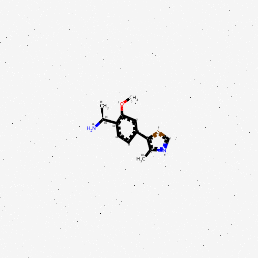 COc1cc(-c2scnc2C)ccc1[C@H](C)N